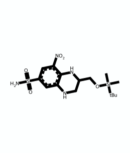 CC(C)(C)[Si](C)(C)OCC1CNc2cc(S(N)(=O)=O)cc([N+](=O)[O-])c2N1